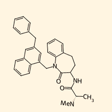 CN[C@@H](C)C(=O)NC1CCc2ccccc2N(Cc2cc(Cc3ccccc3)cc3ccccc23)C1=O